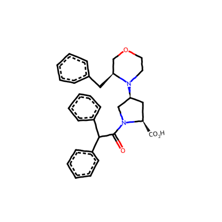 O=C(O)[C@@H]1C[C@H](N2CCOC[C@@H]2Cc2ccccc2)CN1C(=O)C(c1ccccc1)c1ccccc1